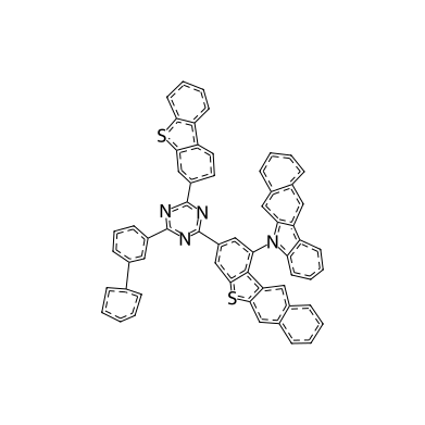 c1ccc(-c2cccc(-c3nc(-c4ccc5c(c4)sc4ccccc45)nc(-c4cc(-n5c6ccccc6c6cc7ccccc7cc65)c5c(c4)sc4cc6ccccc6cc45)n3)c2)cc1